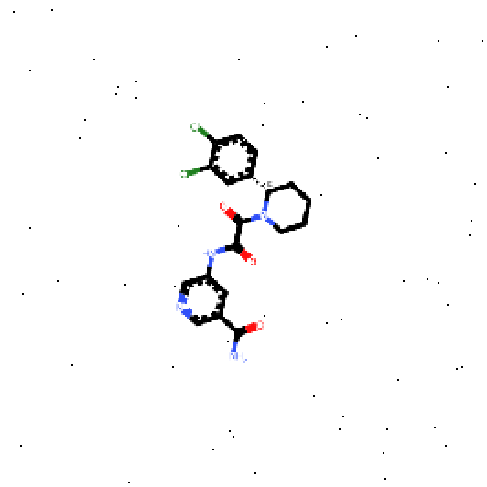 NC(=O)c1cncc(NC(=O)C(=O)N2CCCC[C@H]2c2ccc(Cl)c(Cl)c2)c1